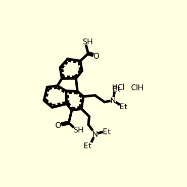 CCN(CC)CCc1c(CCN(CC)CC)c2c3c(cccc3c1C(=O)S)-c1ccc(C(=O)S)cc1-2.Cl.Cl